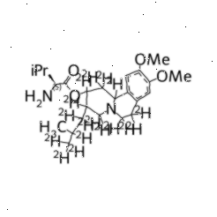 [2H]C([2H])([2H])C([2H])(C)C([2H])([2H])C1([2H])C([2H])([2H])N2C([2H])([2H])C([2H])([2H])c3cc(OC)c(OC)cc3C2([2H])C([2H])([2H])C1([2H])OC(=O)[C@@H](N)C(C)C